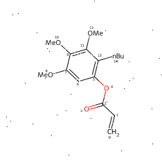 C=CC(=O)Oc1cc(OC)c(OC)c(OC)c1CCCC